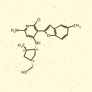 Cc1ccc2oc(-c3c(Cl)nc(N)nc3N[C@@H]3C[C@H](CO)C[C@H]3C)cc2c1